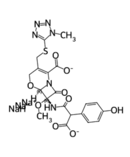 CO[C@@]1(NC(=O)C(C(=O)[O-])c2ccc(O)cc2)C(=O)N2C(C(=O)[O-])=C(CSc3nnnn3C)CO[C@@H]21.[Na+].[Na+].[NaH]